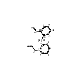 C=CCc1ccccc1.C=Cc1ccccc1CC